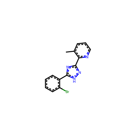 Cc1cccnc1-c1n[nH]c(-c2ccccc2Br)n1